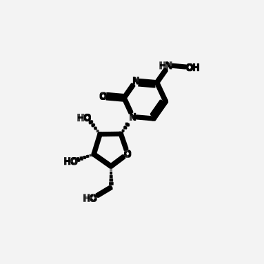 O=c1nc(NO)ccn1[C@@H]1O[C@H](CO)[C@H](O)[C@@H]1O